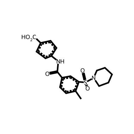 Cc1ccc(C(=O)Nc2ccc(C(=O)O)cc2)cc1S(=O)(=O)N1CCCCC1